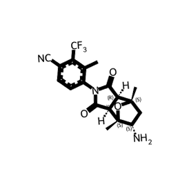 Cc1c(N2C(=O)[C@@H]3[C@H](C2=O)[C@]2(C)O[C@@]3(C)C[C@@H]2N)ccc(C#N)c1C(F)(F)F